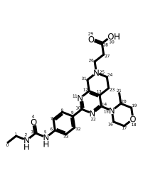 CCNC(=O)Nc1ccc(-c2nc3c(c(N4CCOCC4C)n2)CCN(CCC(=O)O)C3)cc1